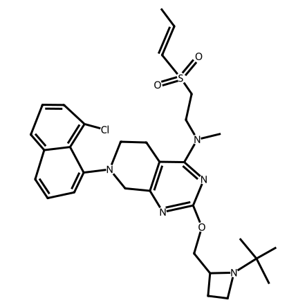 C/C=C/S(=O)(=O)CCN(C)c1nc(OCC2CCN2C(C)(C)C)nc2c1CCN(c1cccc3cccc(Cl)c13)C2